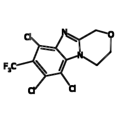 FC(F)(F)c1c(Cl)c(Cl)c2c(nc3n2CCOC3)c1Cl